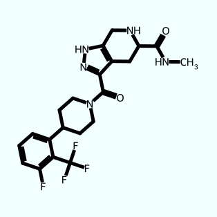 CNC(=O)C1Cc2c(C(=O)N3CCC(c4cccc(F)c4C(F)(F)F)CC3)n[nH]c2CN1